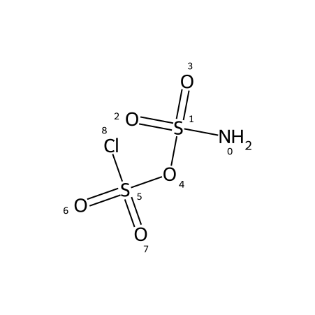 NS(=O)(=O)OS(=O)(=O)Cl